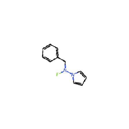 FN(Cc1ccccc1)n1cccc1